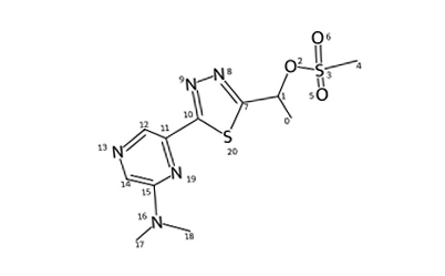 CC(OS(C)(=O)=O)c1nnc(-c2cncc(N(C)C)n2)s1